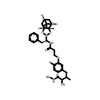 CC(Cc1ccc(F)c(OCCC(=O)N[C@@H](Cc2ccccc2)B2O[C@@H]3C[C@@H]4C[C@@H](C4(C)C)[C@]3(C)O2)c1)C(C#N)C(=O)NC(C)(C)C